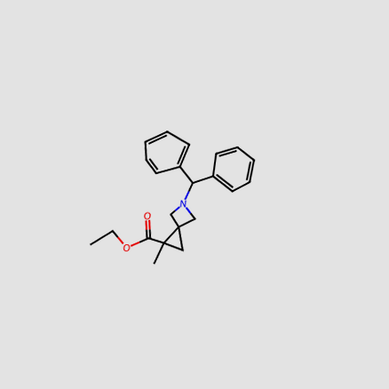 CCOC(=O)C1(C)CC12CN(C(c1ccccc1)c1ccccc1)C2